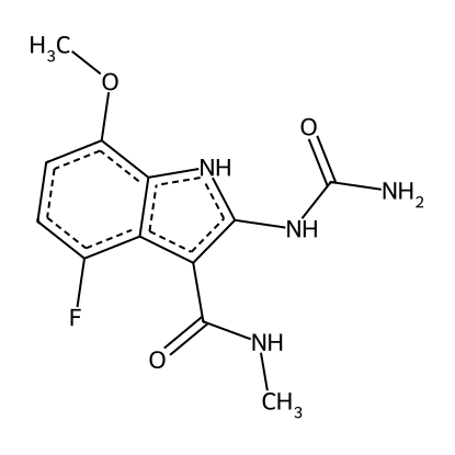 CNC(=O)c1c(NC(N)=O)[nH]c2c(OC)ccc(F)c12